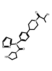 CC(C)C(C)C(=O)N1CCC(c2ccc(N(C(=O)[C@H]3CCNC3)c3cccnn3)cc2)CC1